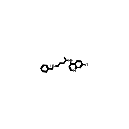 CC(CCCNCc1ccccc1)Nc1ccnc2cc(Cl)ccc12